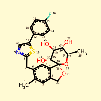 Cc1cc2c(cc1Cc1ncc(-c3ccc(F)cc3)s1)[C@]1(OC2)O[C@H](C)[C@@H](O)[C@H](O)[C@H]1O